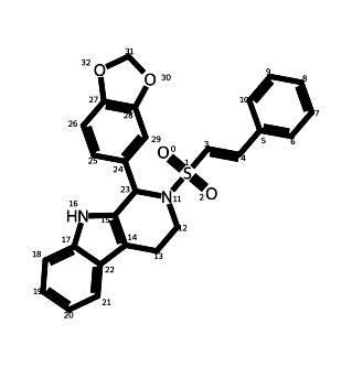 O=S(=O)(C=Cc1ccccc1)N1CCc2c([nH]c3ccccc23)C1c1ccc2c(c1)OCO2